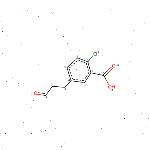 O=CCCc1ccc(Cl)c(C(=O)O)c1